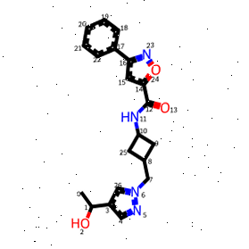 CC(O)c1cnn(CC2CC(NC(=O)c3cc(-c4ccccc4)no3)C2)c1